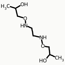 CC(O)CONCCNOCC(C)O